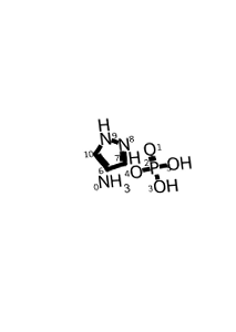 N.O=P(O)(O)O.c1cn[nH]c1